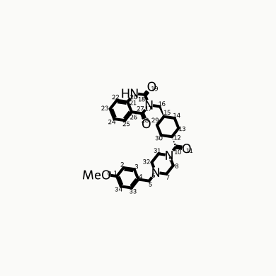 COc1ccc(CN2CCN(C(=O)[C@H]3CC[C@H](Cn4c(=O)[nH]c5ccccc5c4=O)CC3)CC2)cc1